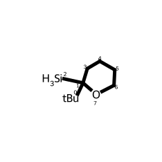 CC(C)(C)C1([SiH3])CCCCO1